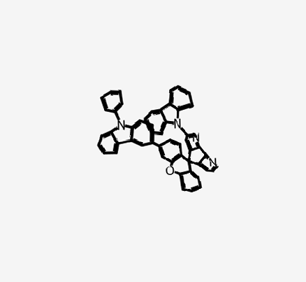 c1ccc(-n2c3ccccc3c3cc(-c4ccc5c(c4)Oc4ccccc4C54c5cccnc5-c5ncc(-n6c7ccccc7c7ccccc76)cc54)ccc32)cc1